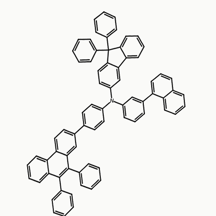 c1ccc(-c2c(-c3ccccc3)c3cc(-c4ccc(N(c5cccc(-c6cccc7ccccc67)c5)c5ccc6c(c5)-c5ccccc5C6(c5ccccc5)c5ccccc5)cc4)ccc3c3ccccc23)cc1